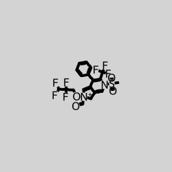 CS(=O)(=O)N1C=C2C[N+](C=O)(OCC(F)(F)C(F)F)C=C2C(c2ccccc2)=C1C(F)(F)F